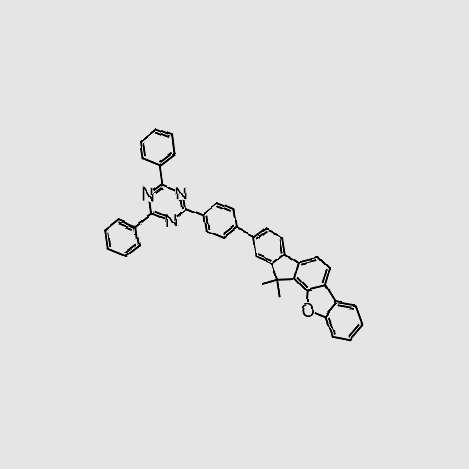 CC1(C)c2cc(-c3ccc(-c4nc(-c5ccccc5)nc(-c5ccccc5)n4)cc3)ccc2-c2ccc3c(oc4ccccc43)c21